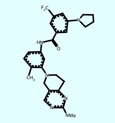 CNc1ncc2c(n1)CCN(c1cc(NC(=O)c3cc(N4CCCC4)cc(C(F)(F)F)c3)ccc1C)C2